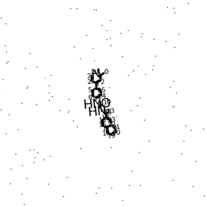 Cc1cc(-c2ccc(NC(=O)N[C@H](C)c3ccc4ccccc4c3)cc2)ccn1